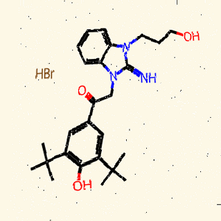 Br.CC(C)(C)c1cc(C(=O)Cn2c(=N)n(CCCO)c3ccccc32)cc(C(C)(C)C)c1O